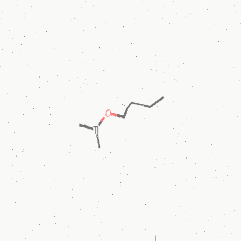 CCCC[O][Tl]([CH3])[CH3]